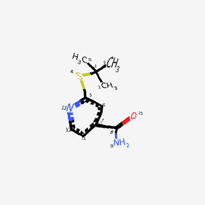 CC(C)(C)Sc1cc(C(N)=O)ccn1